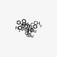 CCCCC1(NC(=O)OC(C)(C)C)C(C[C@H](C)SC(c2ccccc2)(c2ccccc2)c2ccccc2)NCCN1C(=O)c1cccc(C)c1C